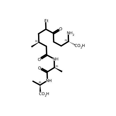 CCC(C[C@H](C)CC(=O)N[C@@H](C)C(=O)N[C@H](C)C(=O)O)C(=O)CC[C@H](N)C(=O)O